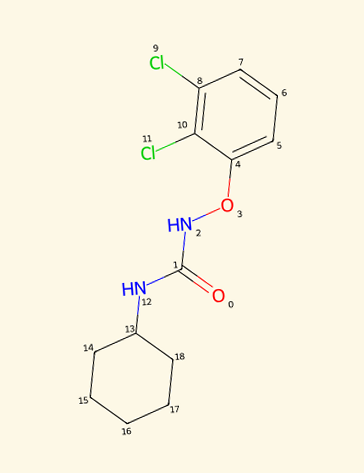 O=C(NOc1cccc(Cl)c1Cl)NC1CCCCC1